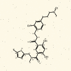 CCc1cc(CCCN(C)CC)ccc1CCC(=O)c1cc(C(=O)N(C)Cc2ccc(C)s2)c(O)cc1O